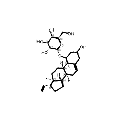 C=C[C@H]1CC[C@H]2[C@@H]3CC=C4CC(O)CC(O[C@H]5O[C@H](CO)[C@H](O)[C@H](O)[C@H]5O)[C@]4(C)[C@H]3CC[C@]12C